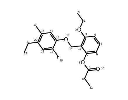 CCOc1cccc(OC(=O)CC)c1COc1cc(C)c(CC)cc1F